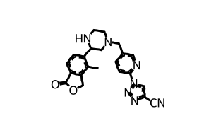 Cc1c(C2CN(Cc3ccc(-n4cc(C#N)nn4)nc3)CCN2)ccc2c1COC2=O